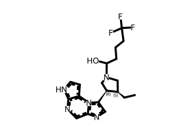 CC[C@@H]1CN(C(O)CCCC(F)(F)F)C[C@@H]1c1cnc2cnc3[nH]ccc3n12